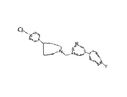 Fc1ccc(-c2cncc(CN3CCC(c4ccc(Cl)cc4)CC3)c2)cc1